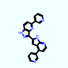 c1cncc(-c2ccc3[nH]nc(-c4cc5c(-c6cccnc6)ccnc5[nH]4)c3n2)c1